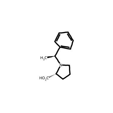 C[C@@H](c1ccccc1)N1CCC[C@@H]1C(=O)O